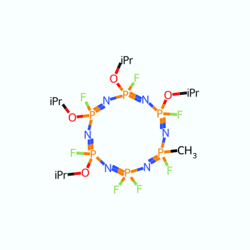 CC(C)OP1(F)=NP(C)(F)=NP(F)(F)=NP(F)(OC(C)C)=NP(F)(OC(C)C)=NP(F)(OC(C)C)=N1